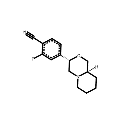 N#Cc1ccc([C@H]2CN3CCCC[C@@H]3CO2)cc1F